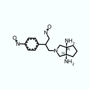 N[C@@]12CCC[C@]1(N)CN(CC(CN=O)c1ccc(N=O)cc1)C2